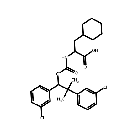 CC(C)(c1cccc(Cl)c1)C(OC(=O)NC(CC1CCCCC1)C(=O)O)c1cccc(Cl)c1